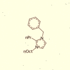 CCCCCCCC[n+]1ccn(Cc2ccccc2)c1CCC